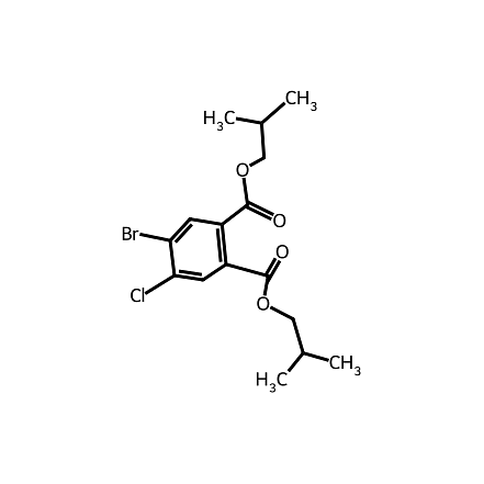 CC(C)COC(=O)c1cc(Cl)c(Br)cc1C(=O)OCC(C)C